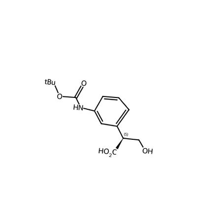 CC(C)(C)OC(=O)Nc1cccc([C@@H](CO)C(=O)O)c1